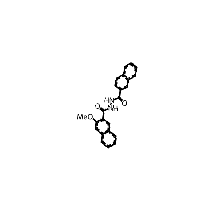 COc1cc2ccccc2cc1C(=O)NNC(=O)c1ccc2ccccc2c1